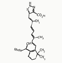 CNC(O)C1=C(/C=C/C(C)=C/C=C/C(C)=C/c2n[nH]nc2C(=O)O)C(C)(C)CCC1